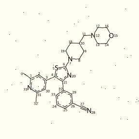 Cc1cc(-c2sc(N3CCC(CN4CCOCC4)CC3)nc2-c2cccc(C#N)c2)cc(C)n1